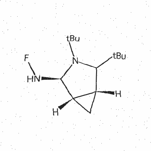 CC(C)(C)C1[C@@H]2C[C@@H]2[C@@H](NF)N1C(C)(C)C